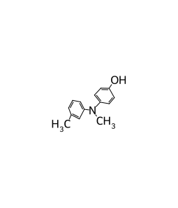 Cc1cccc(N(C)c2ccc(O)cc2)c1